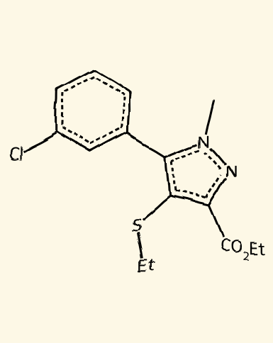 CCOC(=O)c1nn(C)c(-c2cccc(Cl)c2)c1SCC